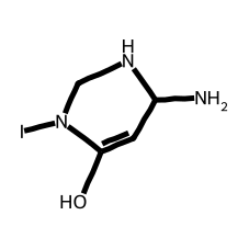 NC1C=C(O)N(I)CN1